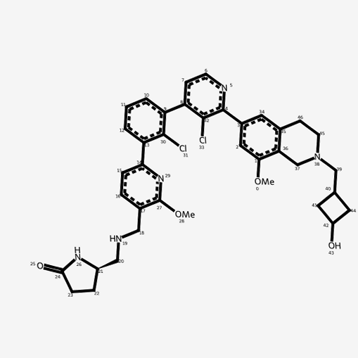 COc1cc(-c2nccc(-c3cccc(-c4ccc(CNC[C@H]5CCC(=O)N5)c(OC)n4)c3Cl)c2Cl)cc2c1CN(CC1CC(O)C1)CC2